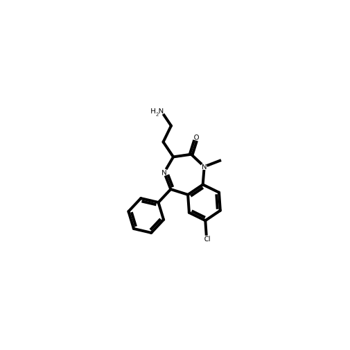 CN1C(=O)C(CCN)N=C(c2ccccc2)c2cc(Cl)ccc21